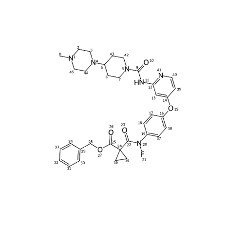 CN1CCN(C2CCN(C(=O)Nc3cc(Oc4ccc(N(F)C(=O)C5(C(=O)OCc6ccccc6)CC5)cc4)ccn3)CC2)CC1